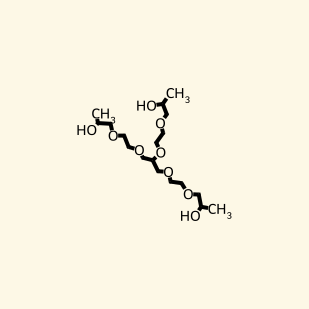 CC(O)COCCOCC(COCCOCC(C)O)OCCOCC(C)O